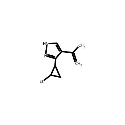 C=C(C)c1c[nH]nc1C1CC1CC